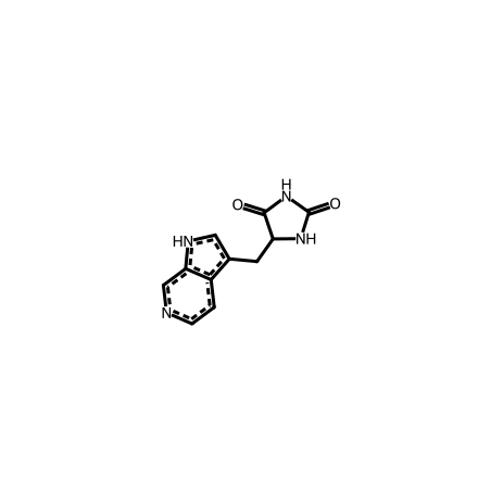 O=C1NC(=O)C(Cc2c[nH]c3cnccc23)N1